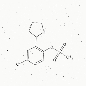 CS(=O)(=O)Oc1ccc(Cl)cc1C1CCCO1